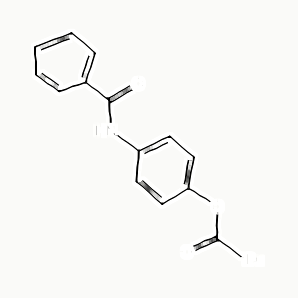 CCC(C)C(=O)Oc1ccc(NC(=O)c2ccccc2)cc1